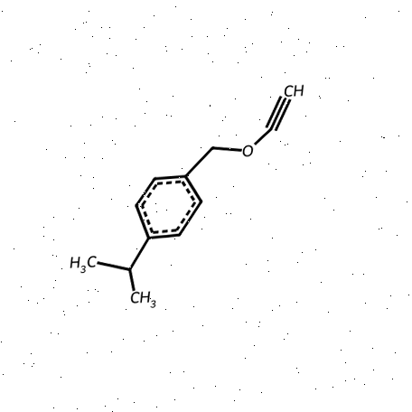 C#COCc1ccc(C(C)C)cc1